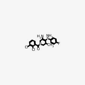 CC1CN(C(=O)c2cccc(Cl)c2Cl)CC(N)=C1N(N)c1ccc(F)cc1